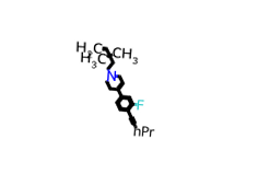 C=CC(C)(C)CCN1CC=C(c2ccc(C#CCCC)c(F)c2)CC1